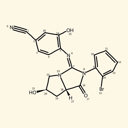 N#Cc1ccc(N=C2N(c3ccccc3Br)C(=O)[C@@H]3C[C@@H](O)CN23)c(O)c1